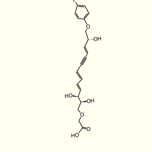 O=C(O)COC[C@H](O)[C@@H](O)C=CC=CC#CC=C[C@@H](O)COc1ccc(F)cc1